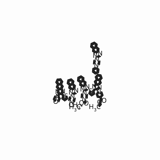 CCOC(=O)C1CCN(c2nc3cc4ccccc4cc3nc2-c2cccs2)CC1.CCOC(=O)N1CCN(c2cnc3cc4ccccc4cc3n2)CC1.CN1CCN(c2cnc3cc4ccccc4cc3n2)CC1.c1ccc(N2CCN(c3cnc4cc5ccccc5cc4n3)CC2)cc1.c1csc(-c2nc3cc4ccccc4cc3nc2N2CCOCC2)c1